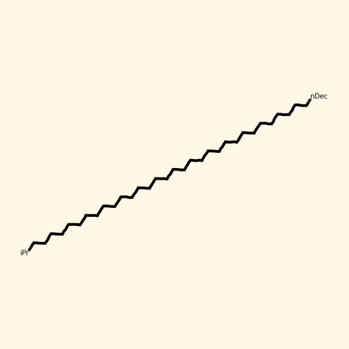 [CH2]CCCCCCCCCCCCCCCCCCCCCCCCCCCCCCCCCCCCCCCCCC(C)C